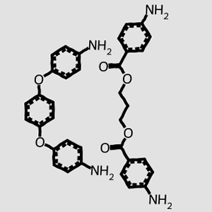 Nc1ccc(C(=O)OCCCOC(=O)c2ccc(N)cc2)cc1.Nc1ccc(Oc2ccc(Oc3ccc(N)cc3)cc2)cc1